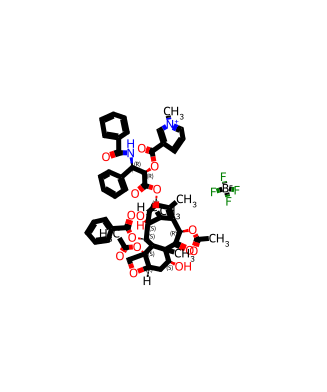 CC(=O)O[C@H]1C(=O)C2(C)C([C@H](OC(=O)c3ccccc3)[C@]3(O)C[C@H](OC(=O)[C@H](OC(=O)c4ccc[n+](C)c4)[C@H](NC(=O)c4ccccc4)c4ccccc4)C(C)=C1C3(C)C)[C@]1(OC(C)=O)CO[C@@H]1C[C@@H]2O.F[B-](F)(F)F